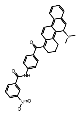 CN(C)C1C=c2ccccc2=c2ccc3c(c21)CCCC=3C(=O)c1ccc(NC(=O)c2cccc([N+](=O)[O-])c2)cc1